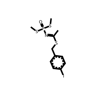 CSP(=O)(N=C(C)SCc1ccc(I)cc1)SC